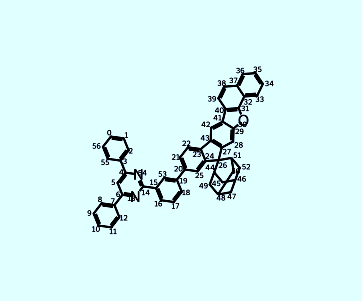 c1ccc(-c2cc(-c3ccccc3)nc(-c3cccc(-c4ccc5c(c4)C4(c6cc7oc8c9ccccc9ccc8c7cc6-5)C5CC6CC(C5)CC4C6)c3)n2)cc1